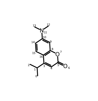 CC(C)c1cc(=O)oc2cc(N(C)C)ccc12